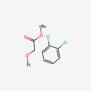 CCCCOC(=O)COCC.Clc1ccccc1Cl